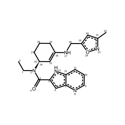 CCN(C(=O)c1cc2ncccc2[nH]1)[C@@H]1C=C(NCc2cc(C)no2)CCC1